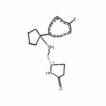 O=C1CC[C@@H](CNC2(c3ccc(F)cc3)CCCC2)N1